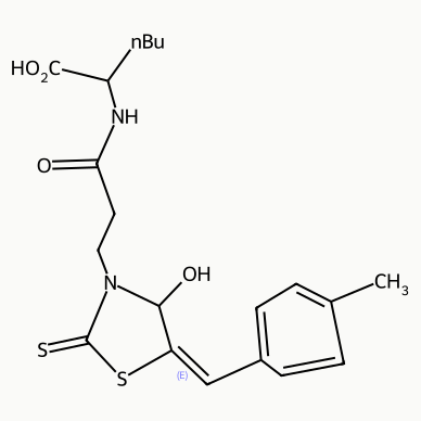 CCCCC(NC(=O)CCN1C(=S)S/C(=C/c2ccc(C)cc2)C1O)C(=O)O